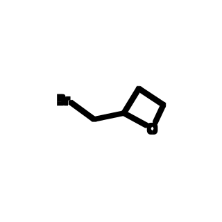 BrCC1CCO1